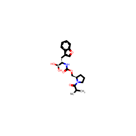 CC(C#N)C(=O)N1CCC[C@@H]1COC(=O)N[C@@H](Cc1coc2ccccc12)B(O)O